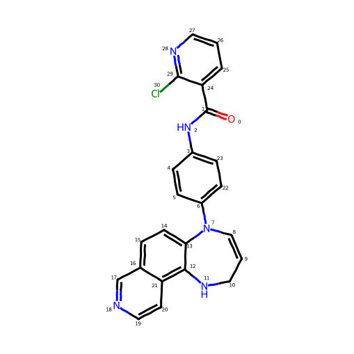 O=C(Nc1ccc(N2C=CCNc3c2ccc2cnccc32)cc1)c1cccnc1Cl